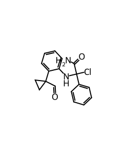 NC(=O)C(Cl)(Nc1ccccc1C1(C=O)CC1)c1ccccc1